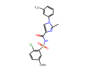 COc1ccc(Cl)c(S(=O)(=O)NC(=O)c2cn(-c3cccc(C(F)(F)F)c3)c(C)n2)c1